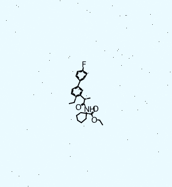 CCOC(=O)C1(NC(=O)C(C)c2cc(-c3ccc(F)cc3)ccc2CC)CCCCC1